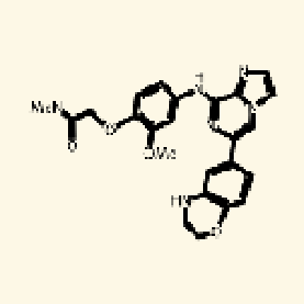 CNC(=O)COc1ccc(Nc2nc(-c3ccc4c(c3)NCCO4)cn3ccnc23)cc1OC